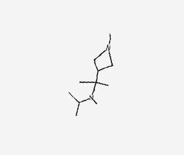 CC(C)N(C)C(C)(C)C1CN(C)C1